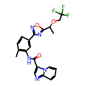 Cc1ccc(-c2noc(C(C)OCC(F)(F)F)n2)cc1NC(=O)c1cnc2ccccn12